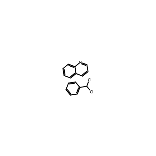 ClC(Cl)c1ccccc1.c1ccc2ncccc2c1